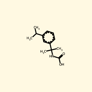 CC(C)c1cccc(C(C)(C)NC(=O)O)c1